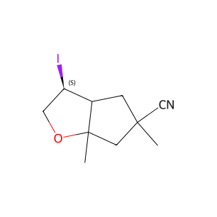 CC1(C#N)CC2[C@H](I)COC2(C)C1